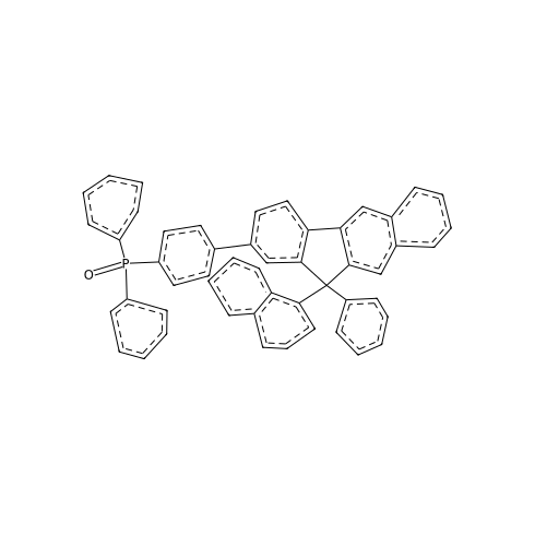 O=P(c1ccccc1)(c1ccccc1)c1ccc(-c2ccc3c(c2)C(c2ccccc2)(c2cccc4ccccc24)c2cc4ccccc4cc2-3)cc1